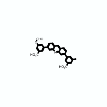 Cc1cc(C(=O)O)cc(-c2ccc3cc4ccc(-c5cc(OC=O)cc(C(=O)O)c5)cc4nc3c2)c1